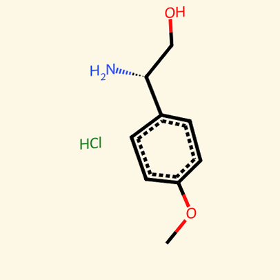 COc1ccc([C@H](N)CO)cc1.Cl